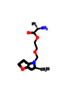 CCOC(=O)c1cc2occc2n1COCCOC(=O)[C@@H](N)C(C)C